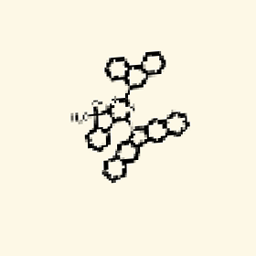 CC1(C)c2ccccc2-c2c(-n3c4cc5ccccc5cc4c4cc5ccccc5cc43)nc(-c3cc4ccccc4c4ccccc34)nc21